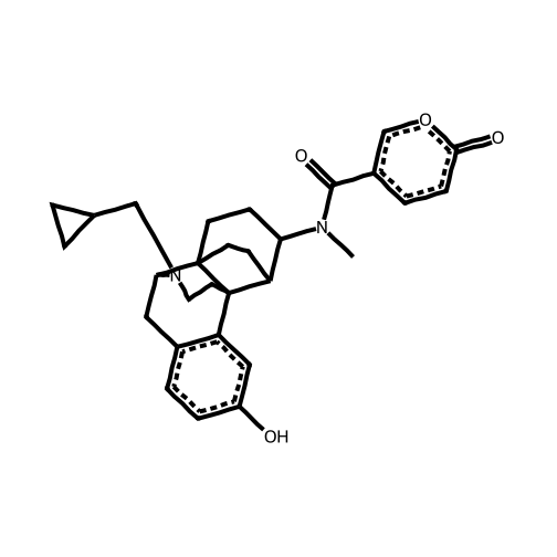 CN(C(=O)c1ccc(=O)oc1)C1CCC23CCC1C21CCN(CC2CC2)C3Cc2ccc(O)cc21